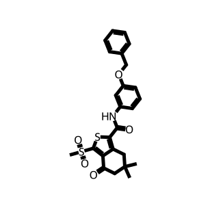 CC1(C)CC(=O)c2c(S(C)(=O)=O)sc(C(=O)Nc3cccc(OCc4ccccc4)c3)c2C1